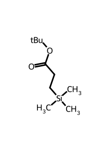 CC(C)(C)OC(=O)CC[Si](C)(C)C